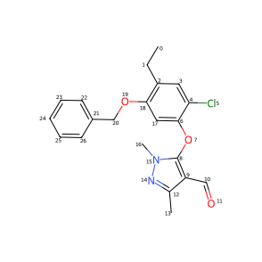 CCc1cc(Cl)c(Oc2c(C=O)c(C)nn2C)cc1OCc1ccccc1